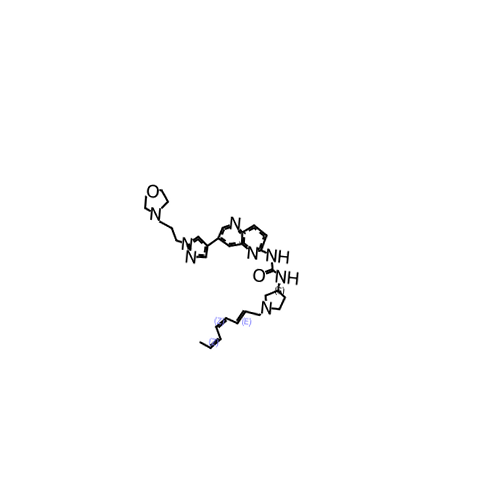 C\C=C/C=C\C=C\CN1CC[C@H](NC(=O)Nc2ccc3ncc(-c4cnn(CCCN5CCOCC5)c4)cc3n2)C1